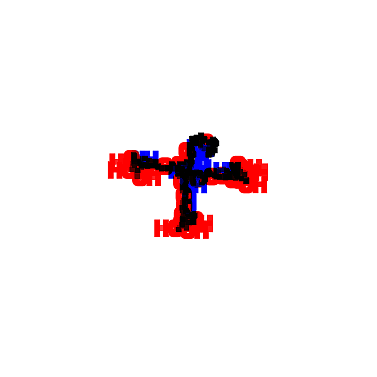 CCC(C)(C)C1CCC1OCC(C)(C)CC(C)(C)CNC(=O)CCCC(=O)NC(CCC(=O)NCCOCCOCCOC1OC(CO)C(O)C(O)C1NC(C)=O)(CCC(=O)NCCOCCOCCOC1OC(CO)C(O)C(O)C1NC(C)=O)CCC(=O)NCCOCCOCCOC1OC(CO)C(O)C(O)C1NC(C)=O